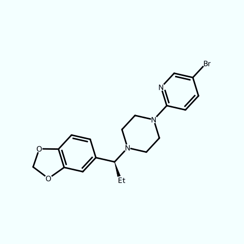 CC[C@@H](c1ccc2c(c1)OCO2)N1CCN(c2ccc(Br)cn2)CC1